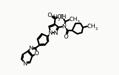 CC1CCC(C(=O)N(c2nn(-c3ccc(-c4nc5ccncc5o4)cc3)cc2C(=O)O)C(C)C)CC1